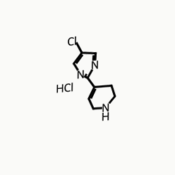 Cl.Clc1cnc(C2=CCNCC2)nc1